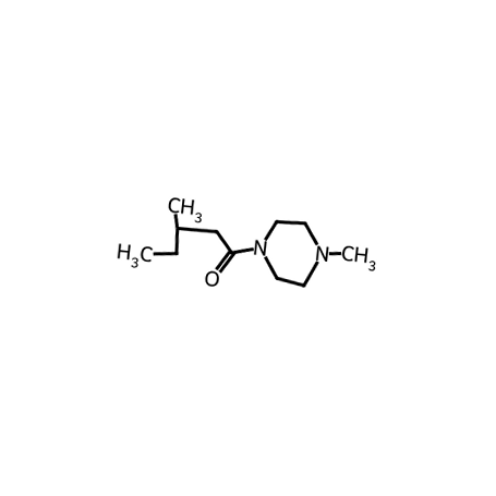 CCC(C)CC(=O)N1CCN(C)CC1